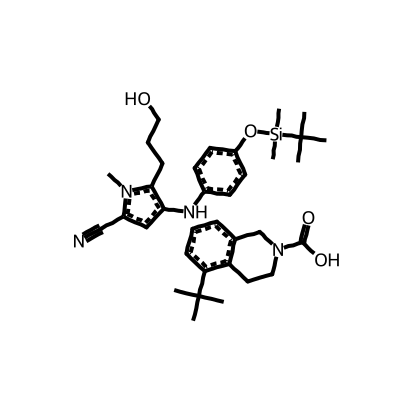 CC(C)(C)c1cccc2c1CCN(C(=O)O)C2.Cn1c(C#N)cc(Nc2ccc(O[Si](C)(C)C(C)(C)C)cc2)c1CCCO